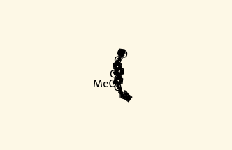 COc1cc(-n2ccc3cc(OC[C@@H]4CCCO4)ccc3c2=O)ccc1OCCN1CC2CCC2C1